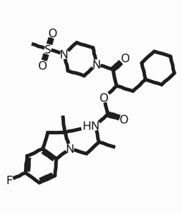 CC(CN1c2ccc(F)cc2CC1(C)C)NC(=O)OC(CC1CCCCC1)C(=O)N1CCN(S(C)(=O)=O)CC1